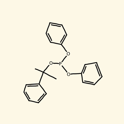 CC(C)(OP(Oc1ccccc1)Oc1ccccc1)c1ccccc1